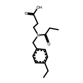 CCC(=O)N(CCC(=O)O)Cc1ccc(CC)cc1